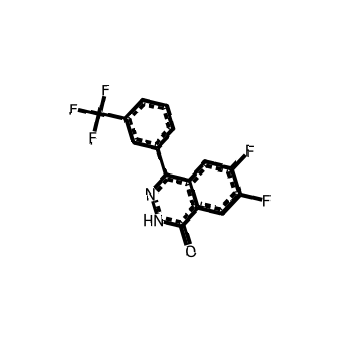 O=c1[nH]nc(-c2cccc(C(F)(F)F)c2)c2cc(F)c(F)cc12